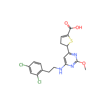 COc1nc(NCCc2ccc(Cl)cc2Cl)cc(C2CC=C(C(=O)O)S2)n1